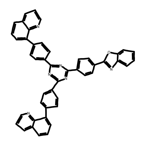 c1cnc2c(-c3ccc(-c4nc(-c5ccc(-c6nc7ccccc7o6)cc5)nc(-c5ccc(-c6cccc7cccnc67)cc5)n4)cc3)cccc2c1